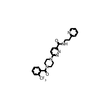 O=C(NCCc1ccccn1)c1ccc(N2CCN(C(=O)c3ccccc3C(F)(F)F)CC2)nn1